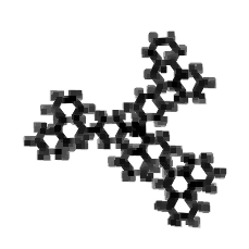 c1ccc2c(c1)cc(-c1ccc(N(c3ccc(-c4cc5ccccc5c5ccccc45)cc3)c3ccc(-c4cc5ccccc5c5ccccc45)c4ccccc34)cc1)c1ccccc12